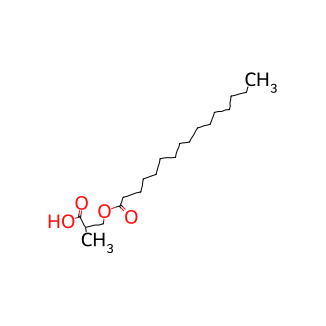 CCCCCCCCCCCCCCCC(=O)OCC(C)C(=O)O